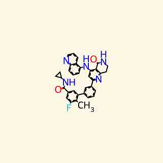 Cc1c(F)cc(C(=O)NC2CC2)cc1-c1cccc(-c2cc(Nc3cccc4ncccc34)c3c(n2)CCNC3=O)c1